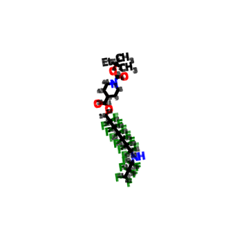 CCC(C)(C)OC(=O)N1CCC(C(=O)OCC(F)(F)C(F)(F)C(F)(F)C(F)(F)C(F)(F)C(F)(F)NC(F)(F)C(F)(F)C(F)F)CC1